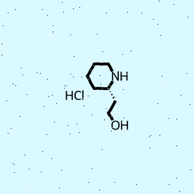 Cl.OCC[C@@H]1CCCCN1